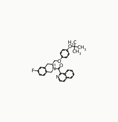 CC(C)(C)Oc1ccc(OC[C@@H]2Cc3cc(F)ccc3CN2C(=O)c2nccc3ccccc23)cc1